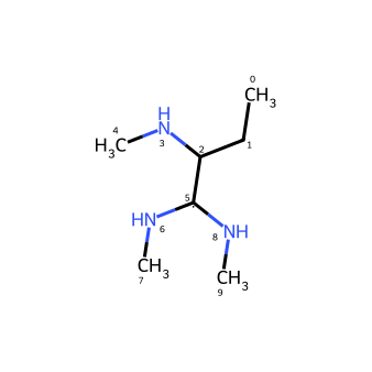 CCC(NC)[C](NC)NC